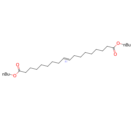 CCCCOC(=O)CCCCCCC/C=C/CCCCCCCC(=O)OCCCC